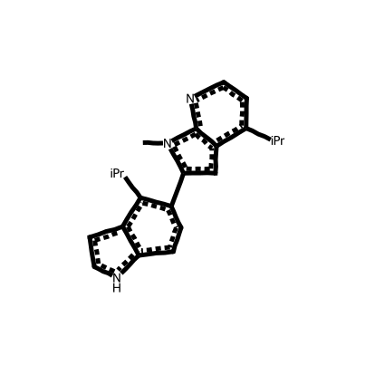 CC(C)c1c(-c2cc3c(C(C)C)ccnc3n2C)ccc2[nH]ccc12